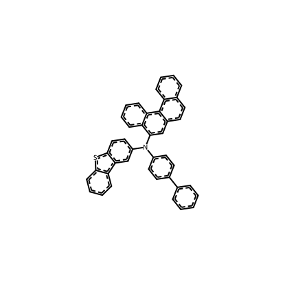 c1ccc(-c2ccc(N(c3ccc4sc5ccccc5c4c3)c3cc4ccc5ccccc5c4c4ccccc34)cc2)cc1